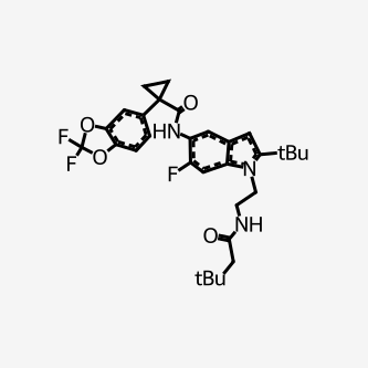 CC(C)(C)CC(=O)NCCn1c(C(C)(C)C)cc2cc(NC(=O)C3(c4ccc5c(c4)OC(F)(F)O5)CC3)c(F)cc21